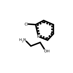 Clc1ccccn1.NCCO